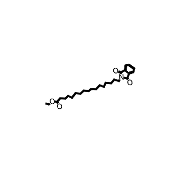 CCOC(=O)CCCCCCCCCCCCCCCCN1C(=O)c2ccccc2C1=O